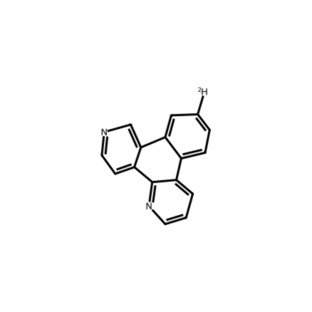 [2H]c1ccc2c(c1)c1cnccc1c1ncccc21